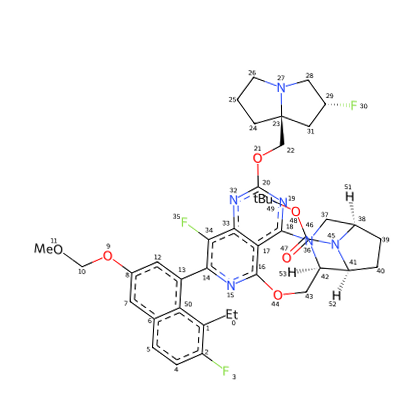 CCc1c(F)ccc2cc(OCOC)cc(-c3nc4c5c(nc(OC[C@@]67CCCN6C[C@H](F)C7)nc5c3F)N3C[C@H]5CC[C@@H]([C@H]3CO4)N5C(=O)OC(C)(C)C)c12